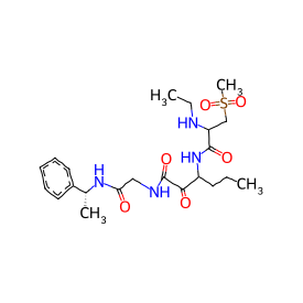 CCCC(NC(=O)C(CS(C)(=O)=O)NCC)C(=O)C(=O)NCC(=O)N[C@H](C)c1ccccc1